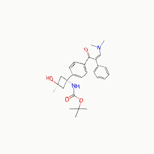 CN(C)/C=C(\C(=O)c1ccc([C@]2(NC(=O)OC(C)(C)C)C[C@](C)(O)C2)cc1)c1ccccc1